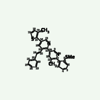 CSc1ccccc1-c1ncc(-c2ncc(-c3sccc3C)cc2C=Cc2ccccc2)cc1C